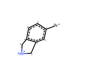 [2H]c1ccc2c(c1)CNC2